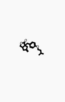 C=C1CC2COC(=O)C2(Cc2ccc(OCCC(C)C)cc2)C1